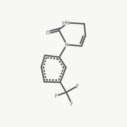 O=C1NCC=CN1c1cccc(C(F)(F)F)c1